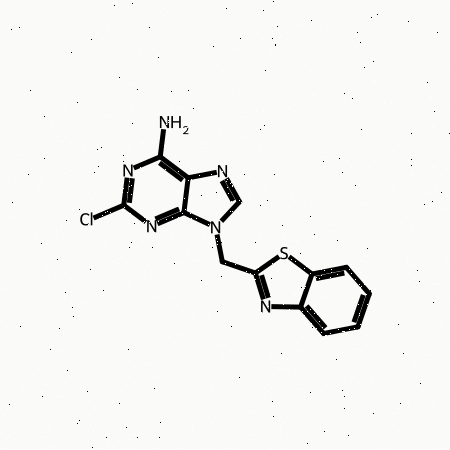 Nc1nc(Cl)nc2c1ncn2Cc1nc2ccccc2s1